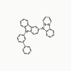 C1=CN2c3ccccc3N(c3ccc4c(c3)c3ccccc3n4-c3cccc(-c4ccccc4)c3)N2C=C1